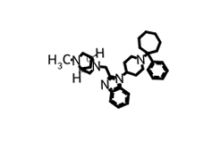 CN1C[C@@H]2C[C@H]1CN2Cc1nc2ccccc2n1C1CCN(C2(c3ccccc3)CCCCCC2)CC1